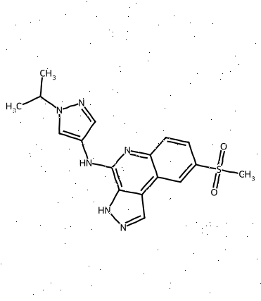 CC(C)n1cc(Nc2nc3ccc(S(C)(=O)=O)cc3c3cn[nH]c23)cn1